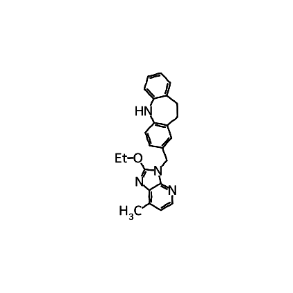 CCOc1nc2c(C)ccnc2n1Cc1ccc2c(c1)CCc1ccccc1N2